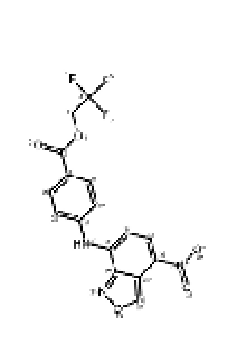 O=C(OCC(F)(F)F)c1ccc(Nc2ccc([N+](=O)[O-])c3nonc23)cc1